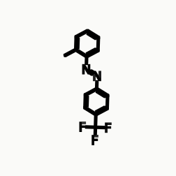 Cc1ccccc1N=Nc1ccc(C(F)(F)F)cc1